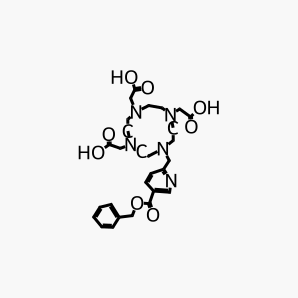 O=C(O)CN1CCN(CC(=O)O)CCN(Cc2ccc(C(=O)OCc3ccccc3)cn2)CCN(CC(=O)O)CC1